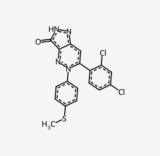 CSc1ccc(-n2nc3c(=O)[nH]nc-3cc2-c2ccc(Cl)cc2Cl)cc1